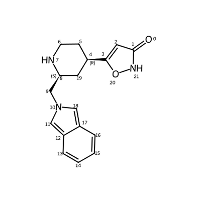 O=c1cc([C@@H]2CCN[C@H](Cn3cc4ccccc4c3)C2)o[nH]1